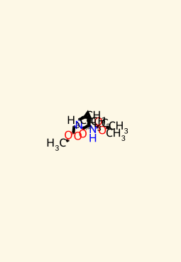 CCOC(=O)CN(CC1CC1)C(=O)[C@@H](NC(=O)OC(C)(C)C)C(C)(C)C